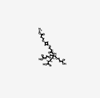 COC(=O)CCO[C@H]1C[C@H](OCCC(=O)NC(COCCC(=O)O)(COCCC(=O)O)COCCC(=O)O)C1